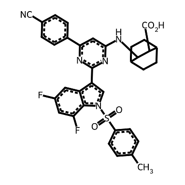 Cc1ccc(S(=O)(=O)n2cc(-c3nc(NC4C5CCC(CC5)C4C(=O)O)cc(-c4ccc(C#N)cc4)n3)c3cc(F)cc(F)c32)cc1